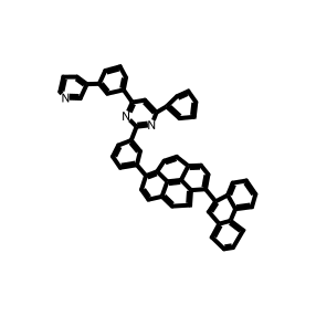 c1ccc(-c2cc(-c3cccc(-c4cccnc4)c3)nc(-c3cccc(-c4ccc5ccc6c(-c7cc8ccccc8c8ccccc78)ccc7ccc4c5c76)c3)n2)cc1